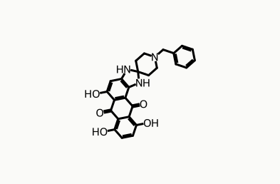 O=C1c2c(O)ccc(O)c2C(=O)c2c3c(cc(O)c21)NC1(CCN(Cc2ccccc2)CC1)N3